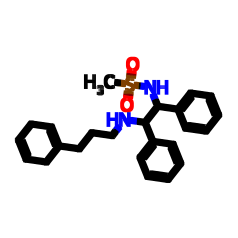 CS(=O)(=O)NC(c1ccccc1)C(NCCCC1=CCC=CC1)c1ccccc1